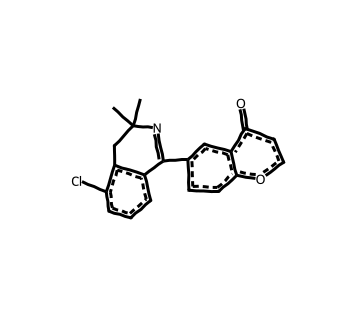 CC1(C)Cc2c(Cl)cccc2C(c2ccc3occc(=O)c3c2)=N1